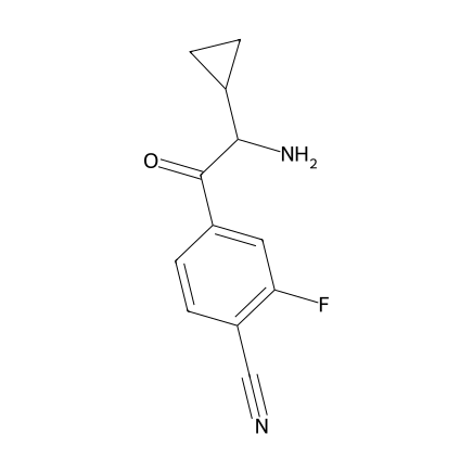 N#Cc1ccc(C(=O)C(N)C2CC2)cc1F